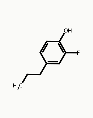 CCCc1ccc(O)c(F)c1